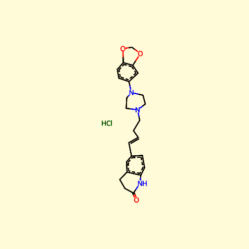 Cl.O=C1CCc2cc(/C=C/CCN3CCN(c4ccc5c(c4)OCO5)CC3)ccc2N1